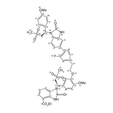 CCOC(=O)c1cccc2c1[nH]c(=O)n2[C@@H](CS(C)(=O)=O)c1ccc(OC)c(OCCc2ccc(-c3ccc4c(c3)[nH]c(=O)n4[C@@H](CS(C)(=O)=O)c3ccc(OC)cc3)c(F)c2)c1